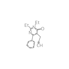 C#CCc1c(-c2ccccc2)nc(CC)n(CC)c1=O